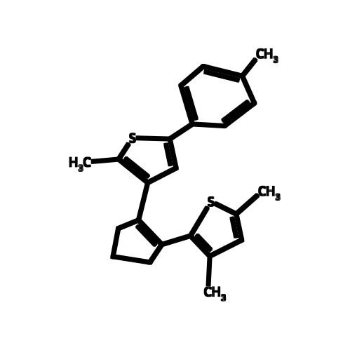 Cc1ccc(-c2cc(C3=C(c4sc(C)cc4C)CCC3)c(C)s2)cc1